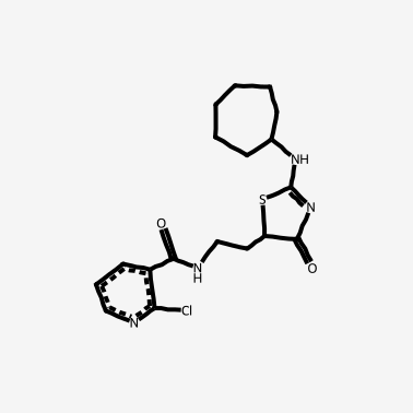 O=C(NCCC1SC(NC2CCCCCC2)=NC1=O)c1cccnc1Cl